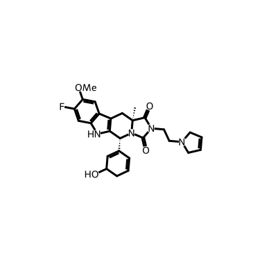 COc1cc2c3c([nH]c2cc1F)[C@@H](C1=CC(O)CC=C1)N1C(=O)N(CCN2CC=CC2)C(=O)[C@]1(C)C3